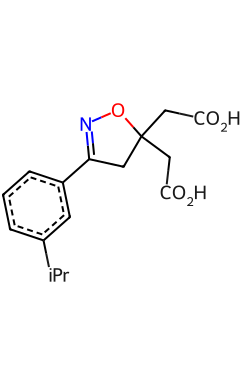 CC(C)c1cccc(C2=NOC(CC(=O)O)(CC(=O)O)C2)c1